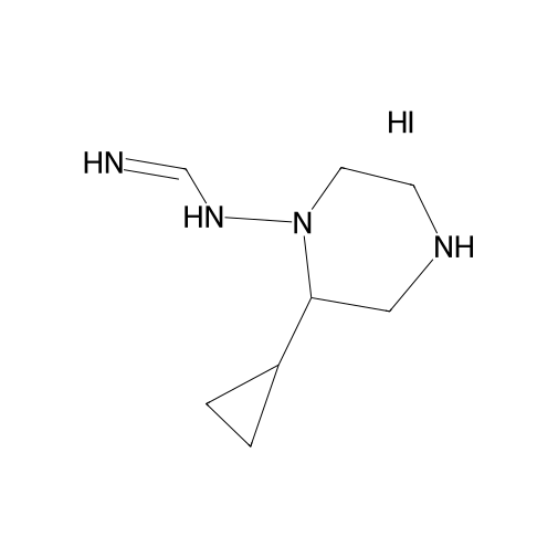 I.N=CNN1CCNCC1C1CC1